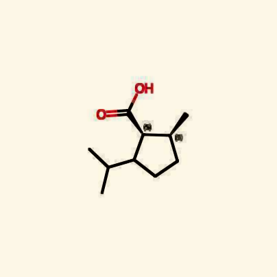 CC(C)C1CC[C@H](C)[C@@H]1C(=O)O